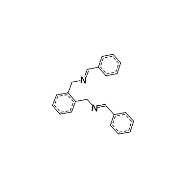 C(=NCc1ccccc1CN=Cc1ccccc1)c1ccccc1